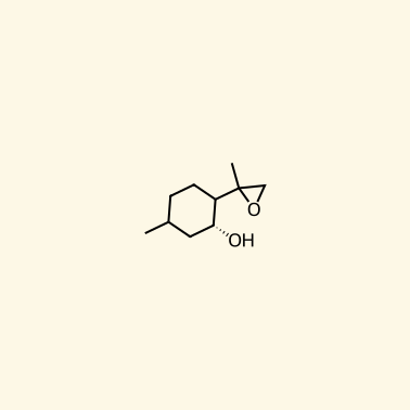 CC1CCC(C2(C)CO2)[C@H](O)C1